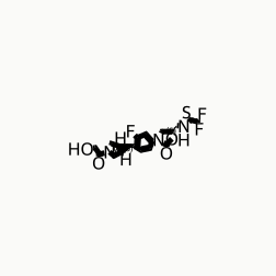 O=C(CO)N1C[C@@H]2[C@H](C1)[C@H]2c1ccc(N2C[C@H](CNC(=S)C(F)F)OC2=O)cc1F